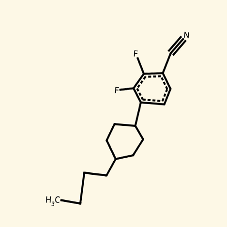 CCCCC1CCC(c2ccc(C#N)c(F)c2F)CC1